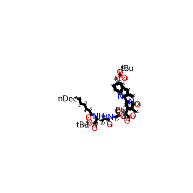 CCCCCCCCCCCCCCCC(=O)N[C@@H](CCC(=O)NCC(=O)O[C@]1(CC)C(=O)OCc2c1cc1n(c2=O)Cc2cc3cc(OC(=O)OC(C)(C)C)ccc3nc2-1)C(=O)OC(C)(C)C